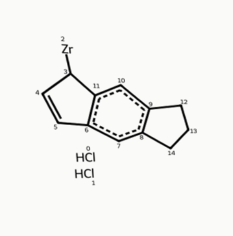 Cl.Cl.[Zr][CH]1C=Cc2cc3c(cc21)CCC3